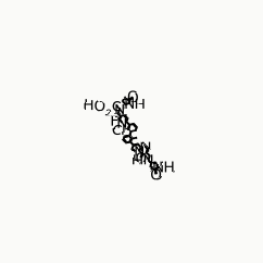 Cc1c(-c2ccn3c(=O)c(CNC4CNC(=O)C4)cnc3c2)cccc1-c1cccc(-c2ccc(CN(C[C@@H]3CCC(=O)N3)C(=O)O)c(F)n2)c1Cl